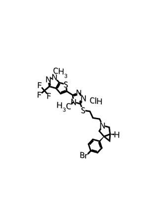 Cl.Cn1c(SCCCN2C[C@@H]3C[C@]3(c3ccc(Br)cc3)C2)nnc1-c1cc2c(C(F)(F)F)nn(C)c2s1